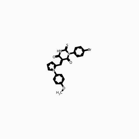 COc1ccc(-n2cccc2/C=C2\C(=O)NC(=S)N(c3ccc(Br)cc3)C2=O)cc1